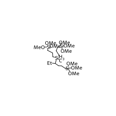 CCC(CCC[Si](OC)(OC)OC)[Si](C)(CCC[Si](OC)(OC)OC)CCC[Si](OC)(OC)OC